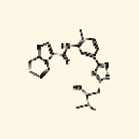 Cc1ccc(-c2noc(CC(O)C(C)C)n2)cc1NC(=O)c1cnc2ccccn12